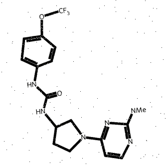 CNc1nccc(N2CCC(NC(=O)Nc3ccc(OC(F)(F)F)cc3)C2)n1